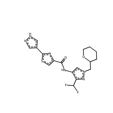 O=C(Nc1cn(CC2CCCCO2)nc1C(F)F)c1csc(-c2cn[nH]c2)n1